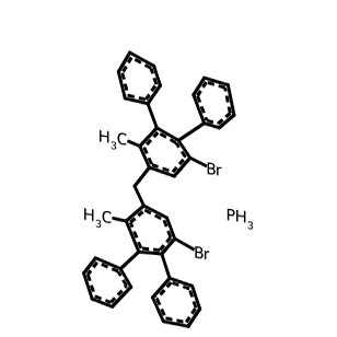 Cc1c(Cc2cc(Br)c(-c3ccccc3)c(-c3ccccc3)c2C)cc(Br)c(-c2ccccc2)c1-c1ccccc1.P